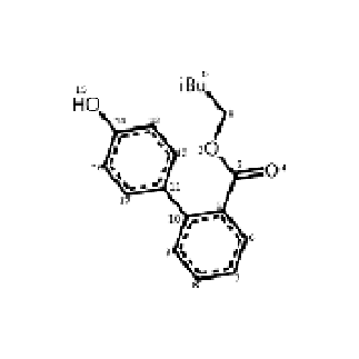 CCC(C)COC(=O)c1ccccc1-c1ccc(O)cc1